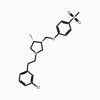 C[C@H]1CN(CCc2cccc(Cl)c2)C[C@@H]1COc1ccc(S(C)(=O)=O)cc1